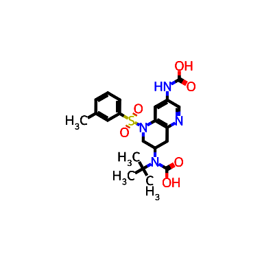 Cc1cccc(S(=O)(=O)N2CC(N(C(=O)O)C(C)(C)C)Cc3ncc(NC(=O)O)cc32)c1